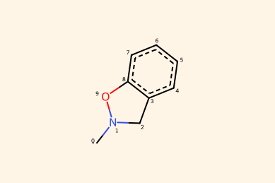 [CH2]N1Cc2ccccc2O1